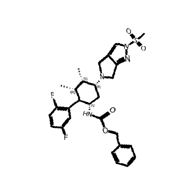 C[C@@H]1[C@H](N2Cc3cn(S(C)(=O)=O)nc3C2)C[C@H](NC(=O)OCc2ccccc2)C(c2cc(F)ccc2F)[C@@H]1C